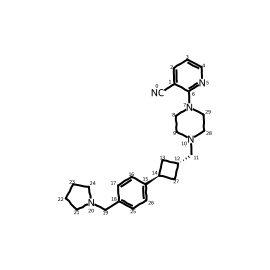 N#Cc1cccnc1N1CCN(C[C@H]2C[C@H](c3ccc(CN4CCCC4)cc3)C2)CC1